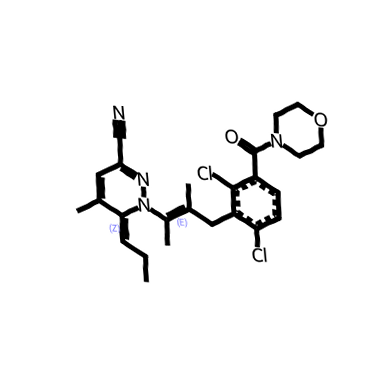 CC/C=C1/C(C)=CC(C#N)=NN1/C(C)=C(\C)Cc1c(Cl)ccc(C(=O)N2CCOCC2)c1Cl